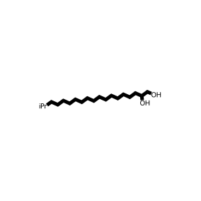 CC(C)CCCCCCCCCCCCCCCC(O)CO